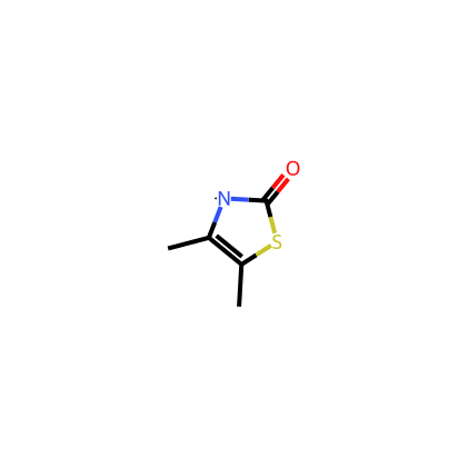 CC1=C(C)SC(=O)[N]1